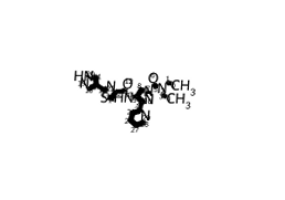 CCN(CC)C(=O)n1cc(NC(=O)c2csc(-c3cn[nH]c3)n2)c(-c2ccccn2)n1